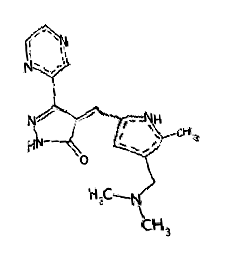 Cc1[nH]c(C=C2C(=O)NN=C2c2cnccn2)cc1CN(C)C